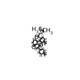 CN(C)CCC(Oc1ccc2occ(-c3ccc(F)cc3)c(=O)c2c1)c1ccc(F)cc1